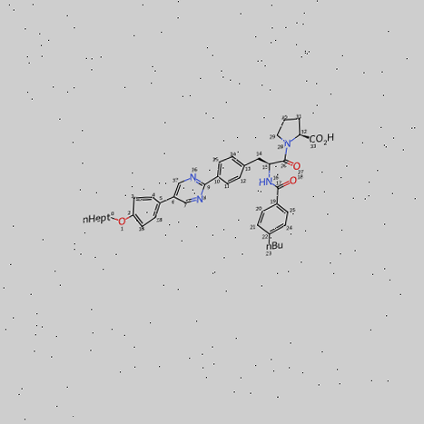 CCCCCCCOc1ccc(-c2cnc(-c3ccc(C[C@H](NC(=O)c4ccc(CCCC)cc4)C(=O)N4CCC[C@H]4C(=O)O)cc3)nc2)cc1